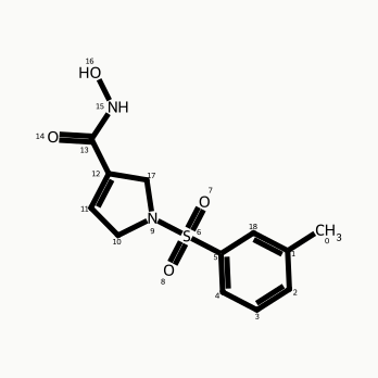 Cc1cccc(S(=O)(=O)N2CC=C(C(=O)NO)C2)c1